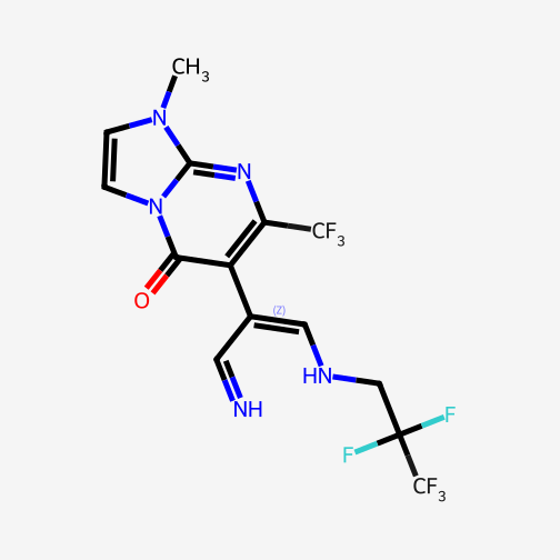 Cn1ccn2c(=O)c(/C(C=N)=C/NCC(F)(F)C(F)(F)F)c(C(F)(F)F)nc12